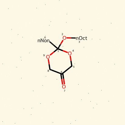 CCCCCCCCCC1(OCCCCCCCC)OCC(=O)CO1